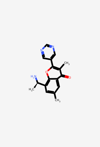 Cc1cc([C@@H](C)N)c2oc(-c3cncnc3)c(C)c(=O)c2c1